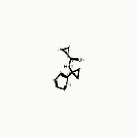 O=C(NC1(c2ccccn2)CC1)C1CC1